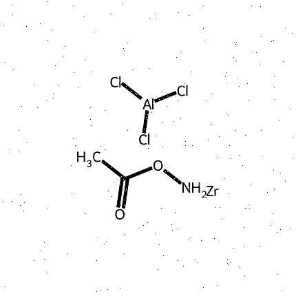 CC(=O)ON.[Cl][Al]([Cl])[Cl].[Zr]